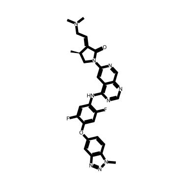 C[C@@H]1CN(c2cc3c(Nc4cc(F)c(Oc5ccc6c(c5)nnn6C)cc4F)ncnc3cn2)C(=O)/C1=C/CN(C)C